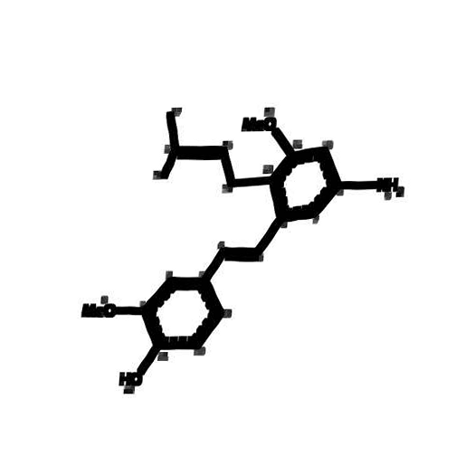 COc1cc(C=Cc2cc(N)cc(OC)c2CC=C(C)C)ccc1O